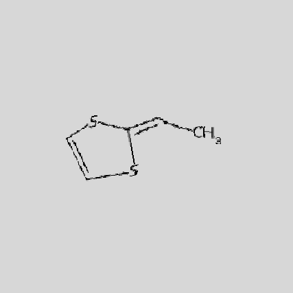 CC=C1SC=CS1